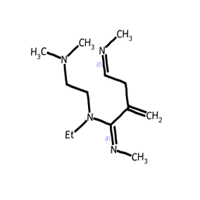 C=C(C/C=N\C)/C(=N\C)N(CC)CCN(C)C